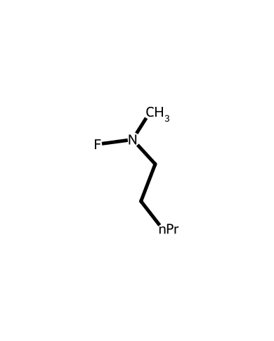 CCCCCN(C)F